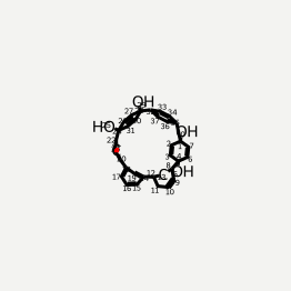 OC12C=CC(O)(C=C1)C1C#CCC(C1)c1cccc(c1)C1CC(C1)C1(O)C=CC(O)(C=C1)c1ccc2cc1